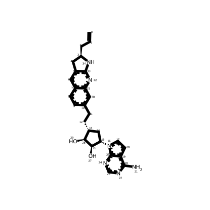 C=CC[C@@H]1Cc2cc3ccc(CC[C@@H]4C[C@H](n5ccc6c(N)ncnc65)[C@@H](O)[C@H]4O)cc3nc2N1